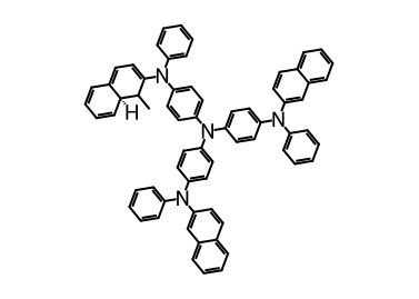 CC1C(N(c2ccccc2)c2ccc(N(c3ccc(N(c4ccccc4)c4ccc5ccccc5c4)cc3)c3ccc(N(c4ccccc4)c4ccc5ccccc5c4)cc3)cc2)=CC=C2C=CC=C[C@@H]21